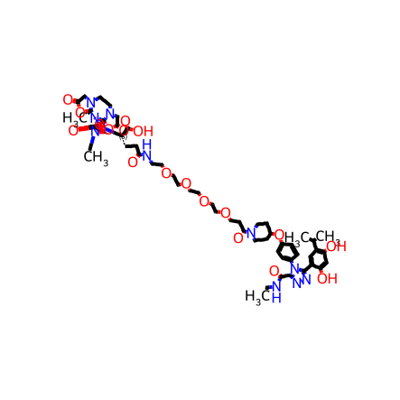 CCNC(=O)c1nnc(-c2cc(C(C)C)c(O)cc2O)n1-c1ccc(OC2CCN(C(=O)CCOCCOCCOCCOCCNC(=O)CC[C@@H](C(=O)O)N3CCN(C)CC(=O)ON4C5(C)OC(=O)CN5CCN5CC(=O)OC54C3)CC2)cc1